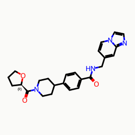 O=C(NCc1ccn2ccnc2c1)c1ccc(C2CCN(C(=O)[C@H]3CCCO3)CC2)cc1